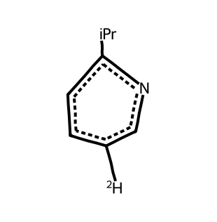 [2H]c1ccc(C(C)C)nc1